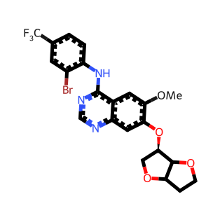 COc1cc2c(Nc3ccc(C(F)(F)F)cc3Br)ncnc2cc1O[C@@H]1COC2CCOC21